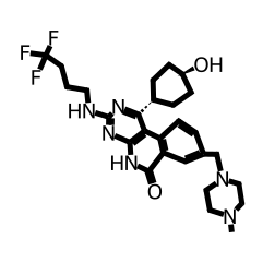 CN1CCN(Cc2ccc3c(c2)c(=O)[nH]c2nc(NCCCC(F)(F)F)nc([C@H]4CC[C@H](O)CC4)c23)CC1